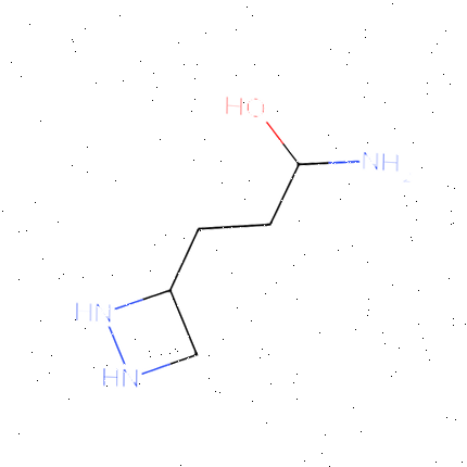 NC(O)CCC1CNN1